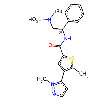 Cc1sc(C(=O)N[C@@H](CN(C(=O)O)C(C)(C)C)c2ccccc2)cc1-c1ccnn1C